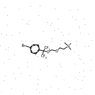 C[Si](C)(C)CCOCOC(c1ccc(Br)cc1)(C(F)(F)F)C(F)(F)F